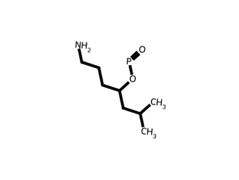 CC(C)CC(CCCN)OP=O